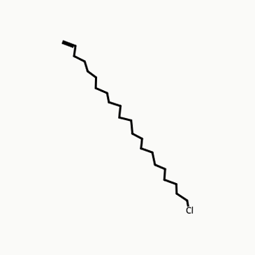 C=CCCCCCCCCCCCCCCCCCCCCCl